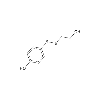 OCCSSc1ccc(O)cc1